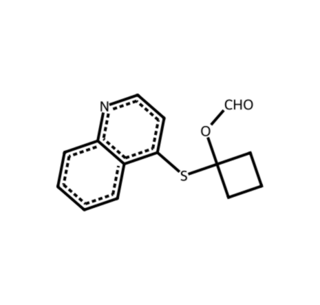 O=COC1(Sc2ccnc3ccccc23)CCC1